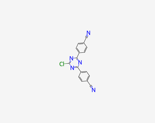 N#Cc1ccc(-c2nc(Cl)nc(-c3ccc(C#N)cc3)n2)cc1